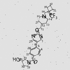 O=C(c1ccc(-c2cnc(OCC3CCN(CC4(C(F)(F)F)CCC4)CC3)nc2)cc1)N1CC[C@H](O)C1